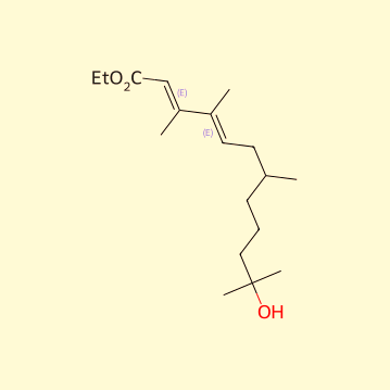 CCOC(=O)/C=C(C)/C(C)=C/CC(C)CCCC(C)(C)O